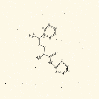 CC(CCC(N)C(=S)Nc1ccccc1)c1ccccc1